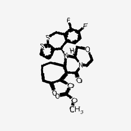 COC(=O)O/C1=C2\C(=O)N3CCOC[C@H]3N([C@H]3c4ccsc4SCc4c3ccc(F)c4F)C2CC/C=C\C1=O